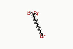 BrCCCCCCCCCCCCC(Br)Br